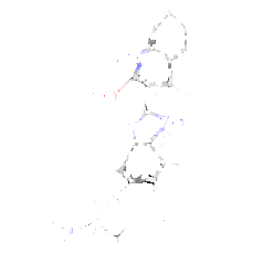 CN(C)C1CCN(c2cc3nc(-c4c(N)c5ccccc5[nH]c4=O)[nH]c3cc2F)C1